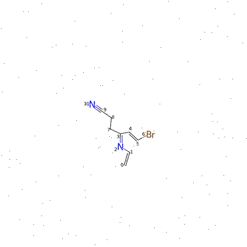 C=C/N=C(\C=C\Br)CCC#N